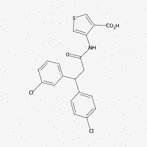 O=C(CC(c1ccc(Cl)cc1)c1cccc(Cl)c1)Nc1cscc1C(=O)O